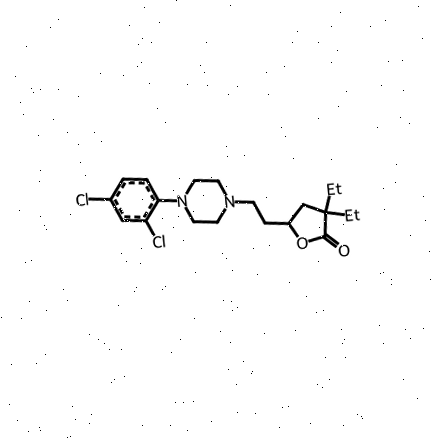 CCC1(CC)CC(CCN2CCN(c3ccc(Cl)cc3Cl)CC2)OC1=O